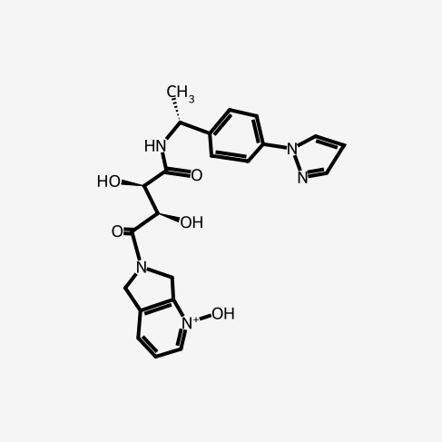 C[C@@H](NC(=O)[C@H](O)[C@@H](O)C(=O)N1Cc2ccc[n+](O)c2C1)c1ccc(-n2cccn2)cc1